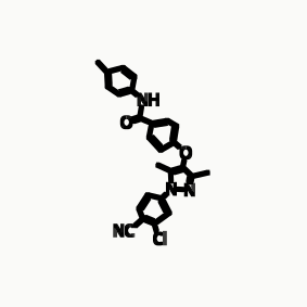 Cc1ccc(NC(=O)c2ccc(Oc3c(C)nn(-c4ccc(C#N)c(Cl)c4)c3C)cc2)cc1